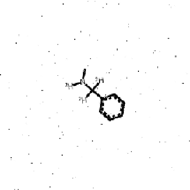 [2H]N(C)C([2H])([2H])c1ccccc1